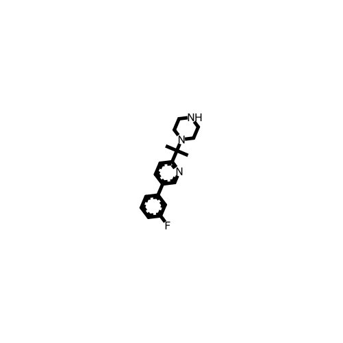 CC(C)(c1ccc(-c2cccc(F)c2)cn1)N1CCNCC1